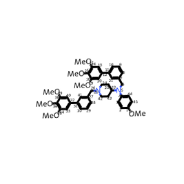 COc1ccc(N(Cc2cccc(-c3cc(OC)c(OC)c(OC)c3)c2)C2CCN(Cc3cccc(-c4cc(OC)c(OC)c(OC)c4)c3)CC2)cc1